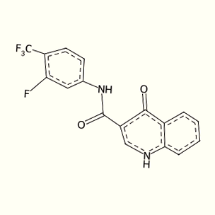 O=C(Nc1ccc(C(F)(F)F)c(F)c1)c1c[nH]c2ccccc2c1=O